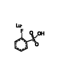 O=S(=O)(O)c1ccccc1F.[Lu]